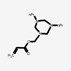 C=CC(=O)OCN1CN(CCC)CN(CCC)C1